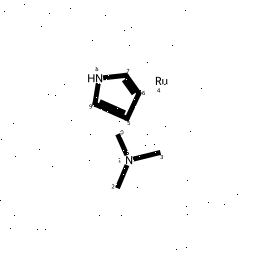 CN(C)C.[Ru].c1cc[nH]c1